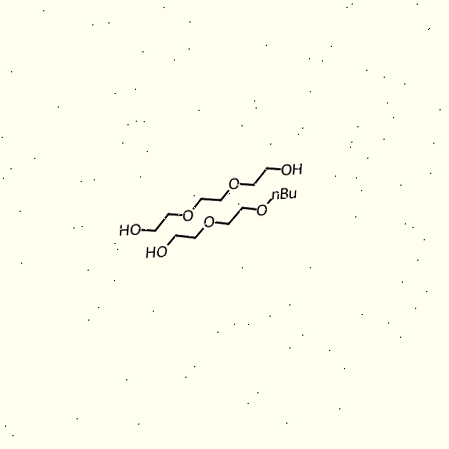 CCCCOCCOCCO.OCCOCCOCCO